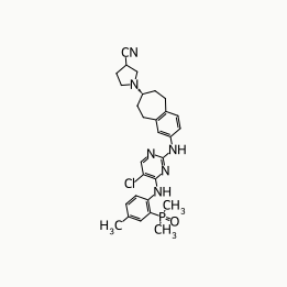 Cc1ccc(Nc2nc(Nc3ccc4c(c3)CC[C@@H](N3CCC(C#N)C3)CC4)ncc2Cl)c(P(C)(C)=O)c1